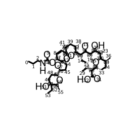 CCCNC(=O)O[C@@H]1C=C[C@]2(O[C@H]([C@@H](CC)C(=O)[C@@H](C)[C@@H](O)[C@H](C)[C@@H]3O[C@@H]([C@@H](CC)C(=O)O)CC[C@@H]3C)[C@@H](C)C[C@H]2C)O[C@@]12CCC([C@H]1CC[C@](O)(CC)[C@H](C)O1)O2